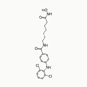 O=C(CCCCCCNC(=O)c1ccc(Nc2c(Cl)cccc2Cl)cc1)NO